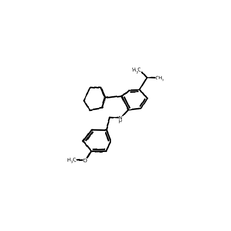 COc1ccc(CNc2ccc(C(C)C)cc2C2CCCCC2)cc1